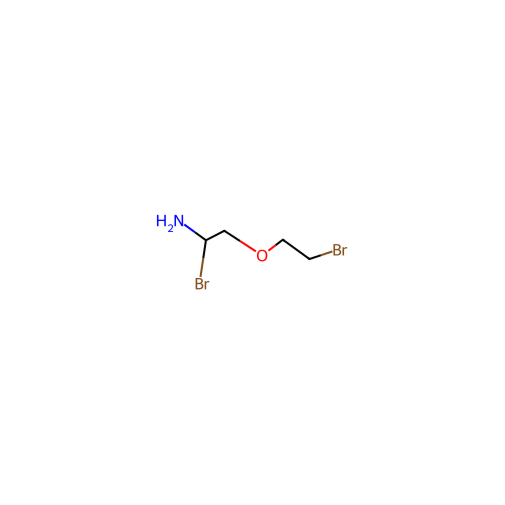 NC(Br)COCCBr